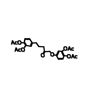 CC(=O)Oc1ccc(CCCC(=O)COc2ccc(OC(C)=O)c(OC(C)=O)c2)cc1OC(C)=O